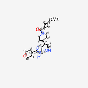 COC12CC(C(=O)N3CCC(C4=C5N=C(C6CCOCC6)NC5NC=C4)CC3)(C1)C2